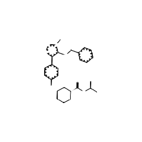 CC(C)OC(=O)[C@H]1CCC[C@H](Oc2ccc(-c3nnn(C)c3NCc3ccccc3)cc2)C1